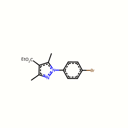 CCOC(=O)c1c(C)nn(-c2ccc(Br)cc2)c1C